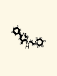 Cc1cc(-c2ccccc2)nnc1NCCN1CCCCC1